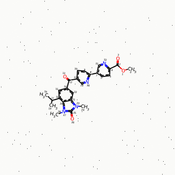 COC(=O)c1ccc(-c2ccc(C(=O)c3cc(C(C)C)c4c(c3)n(C)c(=O)n4C)cn2)cn1